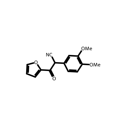 COc1ccc(C(C#N)C(=O)c2ccco2)cc1OC